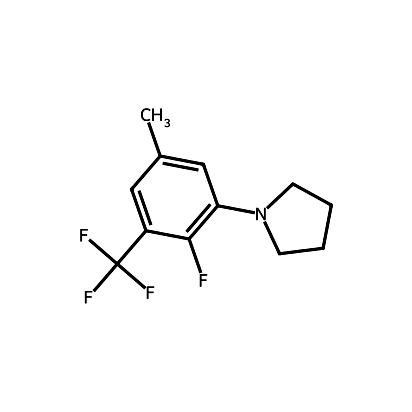 Cc1cc(N2CCCC2)c(F)c(C(F)(F)F)c1